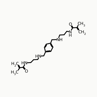 C=C(C)C(=O)NCCCNCc1ccc(CNCCCNC(=O)C(=C)C)cc1